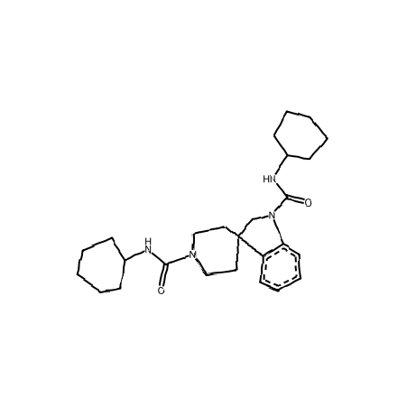 O=C(NC1CCCCC1)N1CCC2(CC1)CN(C(=O)NC1CCCCC1)c1ccccc12